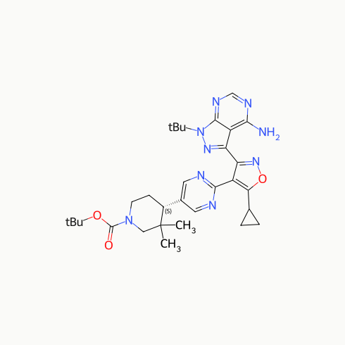 CC(C)(C)OC(=O)N1CC[C@H](c2cnc(-c3c(-c4nn(C(C)(C)C)c5ncnc(N)c45)noc3C3CC3)nc2)C(C)(C)C1